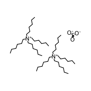 CCCCCC[N+](CCCCCC)(CCCCCC)CCCCCC.CCCCCC[N+](CCCCCC)(CCCCCC)CCCCCC.O=S([O-])[O-]